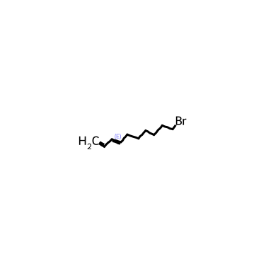 C=C/C=C/CCCCCCBr